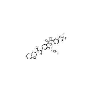 CCOc1cc(NC(=O)C(CO)CC2CC=CCC2)ccc1S(=O)(=O)Nc1cccc(OC(F)(F)F)c1